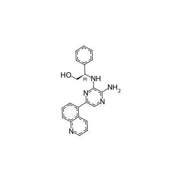 Nc1ncc(-c2cccc3ncccc23)nc1N[C@@H](CO)c1ccccc1